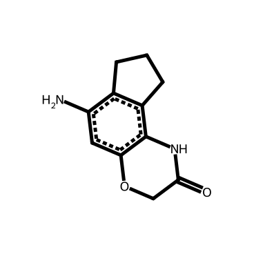 Nc1cc2c(c3c1CCC3)NC(=O)CO2